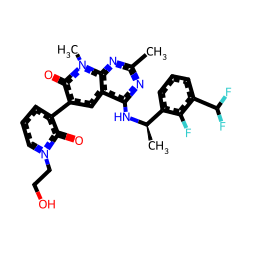 Cc1nc(N[C@H](C)c2cccc(C(F)F)c2F)c2cc(-c3cccn(CCO)c3=O)c(=O)n(C)c2n1